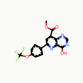 COC(=O)c1cc(-c2ccc(OC(F)(F)F)cc2)nc2c(O)ncnc12